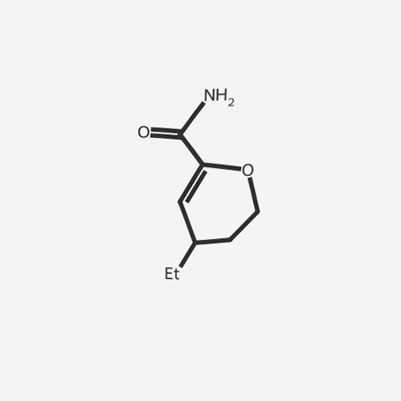 CCC1C=C(C(N)=O)OCC1